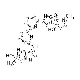 CN1CCC(O)(c2cc(-c3cccc(-c4ccnc(Nc5cnn(CC(C)(C)O)c5)n4)n3)no2)C1=O